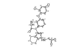 O=C(O)[C@@H](c1ccnc(Oc2ccc(Cl)cc2Cl)c1Br)n1nc(NC=S(=O)=O)c2c1CCCC2